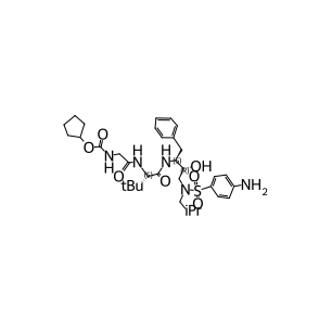 CC(C)CN(C[C@@H](O)[C@H](Cc1ccccc1)NC(=O)[C@@H](NC(=O)CNC(=O)OC1CCCC1)C(C)(C)C)S(=O)(=O)c1ccc(N)cc1